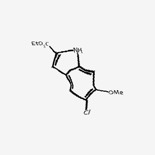 CCOC(=O)c1cc2cc(Cl)c(OC)cc2[nH]1